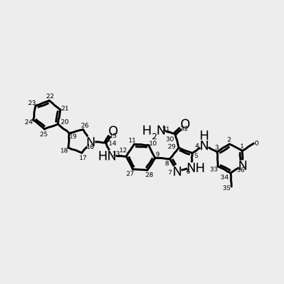 Cc1cc(Nc2[nH]nc(-c3ccc(NC(=O)N4CCC(c5ccccc5)C4)cc3)c2C(N)=O)cc(C)n1